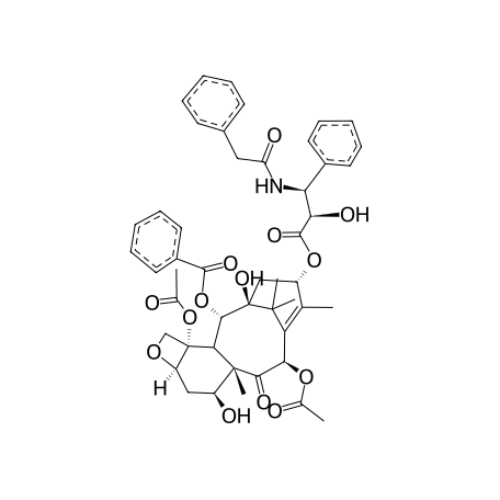 CC(=O)O[C@H]1C(=O)[C@@]2(C)C([C@H](OC(=O)c3ccccc3)[C@]3(O)C[C@H](OC(=O)[C@H](O)[C@@H](NC(=O)Cc4ccccc4)c4ccccc4)C(C)=C1C3(C)C)[C@]1(OC(C)=O)CO[C@@H]1C[C@@H]2O